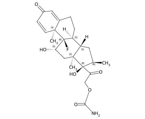 C[C@@H]1C[C@H]2[C@@H]3CCC4=CC(=O)C=C[C@]4(C)[C@@]3(F)[C@@H](O)C[C@]2(C)[C@@]1(O)C(=O)COC(N)=O